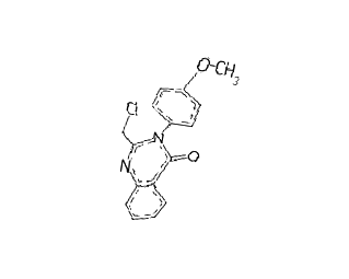 COc1ccc(-n2c(CCl)nc3ccccc3c2=O)cc1